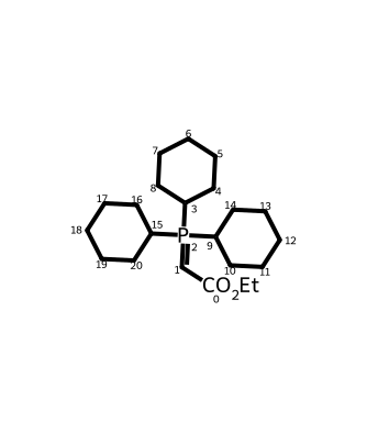 CCOC(=O)C=P(C1CCCCC1)(C1CCCCC1)C1CCCCC1